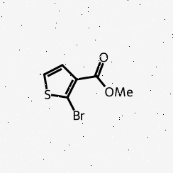 COC(=O)c1c[c]sc1Br